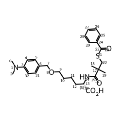 CN(C)c1ccc(COCCCC[C@H](NC(=O)C(C)(C)CSC(=O)c2ccccc2)C(=O)O)cc1